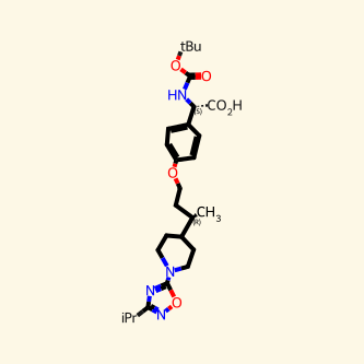 CC(C)c1noc(N2CCC([C@H](C)CCOc3ccc([C@H](NC(=O)OC(C)(C)C)C(=O)O)cc3)CC2)n1